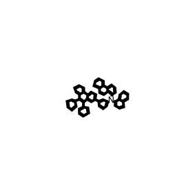 c1ccc(-c2c(-c3ccccc3)c3cc(-c4cccc(N(c5cccc6ccccc56)c5cccc6c5ccc5ccccc56)c4)ccc3c3ccccc23)cc1